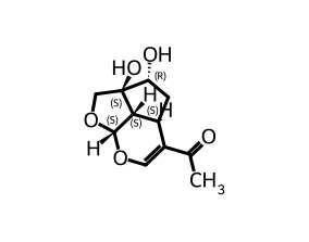 CC(=O)C1=CO[C@@H]2OC[C@@]3(O)[C@@H]2[C@@H]1C[C@H]3O